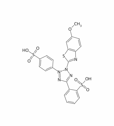 COc1ccc2nc(-n3nc(-c4ccccc4S(=O)(=O)O)n[n+]3-c3ccc(S(=O)(=O)O)cc3)sc2c1